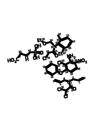 C=CCN(CC=C)C(=O)C(Cl)Cl.CCOCN(C(=O)CCl)c1c(C)cccc1CC.Nc1c([N+](=O)[O-])ccc(Oc2ccccc2)c1Cl.O=C(O)CNCP(=O)(O)O